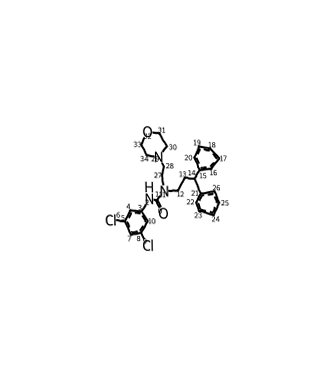 O=C(Nc1cc(Cl)cc(Cl)c1)N(CCC(c1ccccc1)c1ccccc1)CCN1CCOCC1